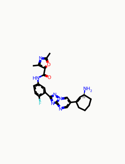 Cc1nc(C)c(C(=O)Nc2ccc(F)c(-c3nc4ncc(C5=C[C@@H](N)CCCC5)cn4n3)c2)o1